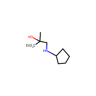 CCOC(=O)C(C)(O)CNC1CCCC1